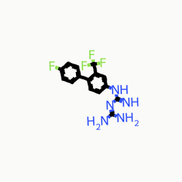 N=C(N=C(N)N)Nc1ccc(-c2ccc(F)cc2)c(C(F)(F)F)c1